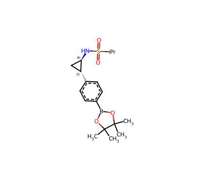 CC(C)S(=O)(=O)N[C@@H]1C[C@H]1c1ccc(B2OC(C)(C)C(C)(C)O2)cc1